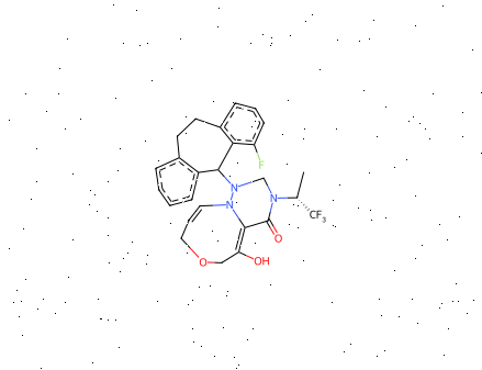 C[C@@H](N1CN(C2c3ccccc3CCc3cccc(F)c32)N2/C=C\COC/C(O)=C\2C1=O)C(F)(F)F